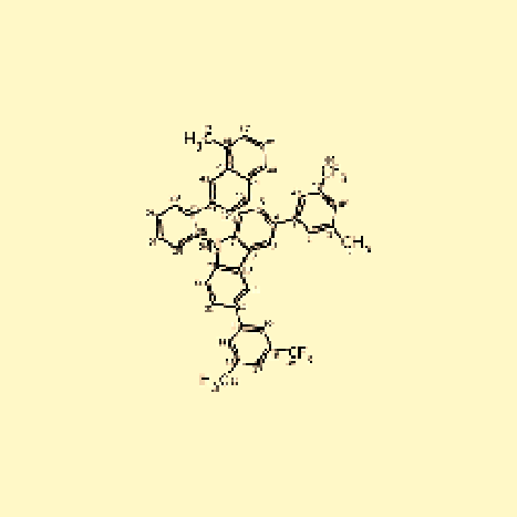 Cc1cc(-c2ccc3c(c2)c2cc(-c4cc(C)cc(C(F)(F)F)c4)ccc2n3-c2ccccc2-c2ccc3cccc(C)c3c2)cc(C(F)(F)F)c1